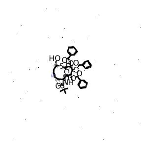 C[C@@H]1/C=C\C[C@@H](CO)S[C@H]2O[C@H]([C@@H]1N[S@+]([O-])C(C)(C)C)[C@H](OC(=O)c1ccccc1)[C@H](OC(=O)c1ccccc1)[C@H]2OC(=O)c1ccccc1